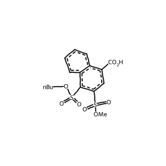 CCCCOS(=O)(=O)c1c(S(=O)(=O)OC)cc(C(=O)O)c2ccccc12